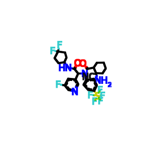 N#CC1(N)CCCCC1C(=O)N(c1ccc(S(F)(F)(F)(F)F)cc1)C(C(=O)NC1CCC(F)(F)CC1)c1cncc(F)c1